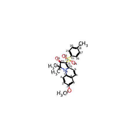 COc1ccc2c(c1)C=CC1=C(S(=O)(=O)c3ccc(C)cc3)C(=O)C(C)(C)N12